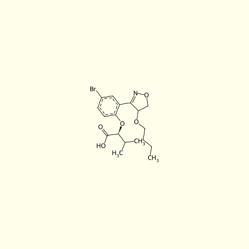 CCCCOC1CON=C1c1cc(Br)ccc1O[C@H](C(=O)O)C(C)C